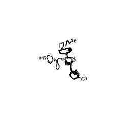 COc1ccc(-c2nc(-c3ccc(Cl)cc3)cn2CC(=O)N2CCNCC2)cc1